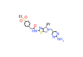 CCS(=O)(=O)c1ccc(CC(=O)Nc2nc3c(s2)CN(Cc2cnc(N)nc2)C3C(C)C)cc1